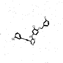 N#Cc1cccc(C#Cc2cncnc2Nc2ccc(OCc3cccc(F)c3)c(Cl)c2)c1